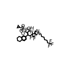 O=C1NC(c2cnn(CCCCCCC(F)(F)F)c2)(C(F)(F)F)CC(c2ccc3c(c2)CCCC3)=C1C(=O)NS(=O)(=O)C1CC1